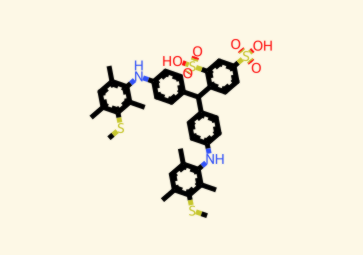 CSc1c(C)cc(C)c(Nc2ccc(C(c3ccc(Nc4c(C)cc(C)c(SC)c4C)cc3)c3ccc(S(=O)(=O)O)cc3S(=O)(=O)O)cc2)c1C